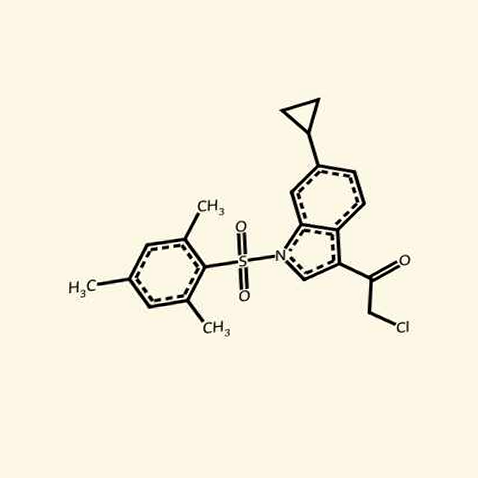 Cc1cc(C)c(S(=O)(=O)n2cc(C(=O)CCl)c3ccc(C4CC4)cc32)c(C)c1